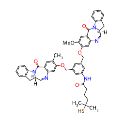 COc1cc2c(cc1OCc1cc(COc3cc4c(cc3C)C(=O)N3c5ccccc5C[C@H]3C=N4)cc(NC(=O)CCCC(C)(C)S)c1)N=C[C@@H]1Cc3ccccc3N1C2=O